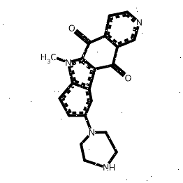 Cn1c2c(c3cc(N4CCNCC4)ccc31)C(=O)c1cnccc1C2=O